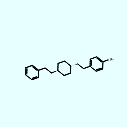 CCCc1ccc(CC[C@H]2CC[C@H](CCc3ccccc3)CC2)cc1